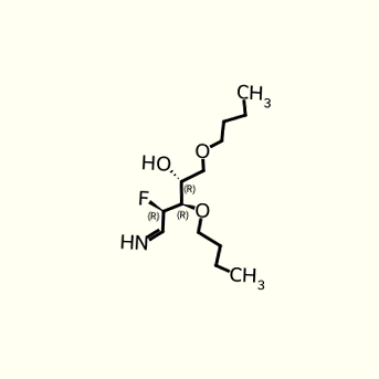 CCCCOC[C@@H](O)[C@@H](OCCCC)[C@H](F)C=N